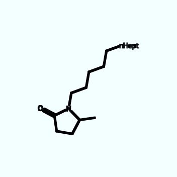 CCCCCCCCCCCCN1C(=O)CCC1C